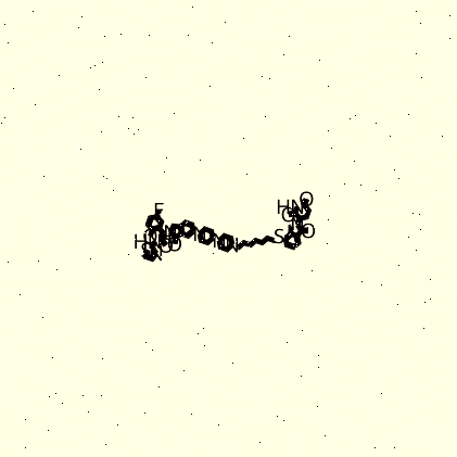 O=C1CCC(N2Cc3c(SCCCCCCCN4CCN(C5CCN(c6ccc7c(c6)C(=O)N(C(C(=O)Nc6nccs6)c6cc(F)ccc6O)C7)CC5)CC4)cccc3C2=O)C(=O)N1